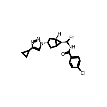 CCC(NC(=O)c1ccc(Cl)cc1)[C@H]1C2C[C@H](n3cc(C4CC4)nn3)C[C@@H]21